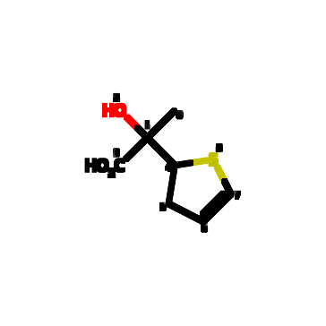 CC(O)(C(=O)O)C1CC=CS1